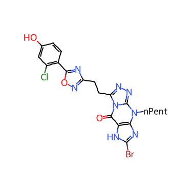 CCCCCn1c2nc(Br)[nH]c2c(=O)n2c(CCc3noc(-c4ccc(O)cc4Cl)n3)nnc12